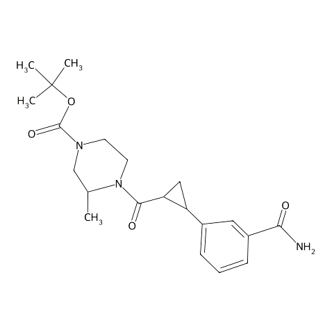 CC1CN(C(=O)OC(C)(C)C)CCN1C(=O)C1CC1c1cccc(C(N)=O)c1